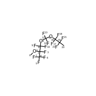 COC(F)(C(F)(F)F)C(F)(F)OC(F)(F)OC(F)(F)C(C)(F)F